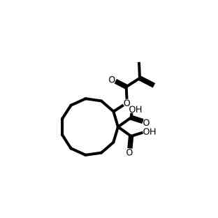 C=C(C)C(=O)OC1CCCCCCCCCC1(C(=O)O)C(=O)O